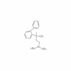 CCCCN(CCCC)CCC(C)(O)c1ccccc1-c1ccccc1